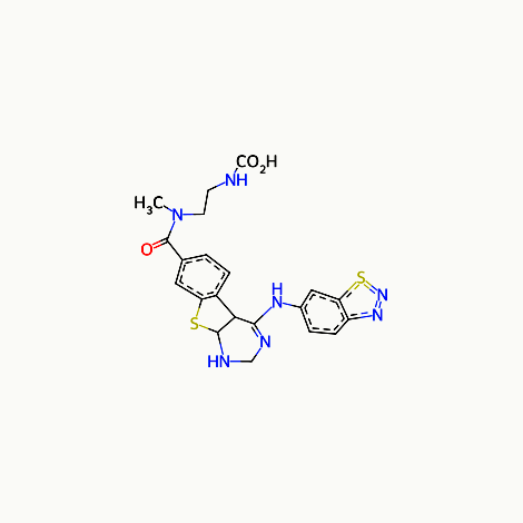 CN(CCNC(=O)O)C(=O)c1ccc2c(c1)SC1NCN=C(Nc3ccc4nnsc4c3)C21